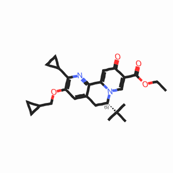 CCOC(=O)c1cn2c(cc1=O)-c1nc(C3CC3)c(OCC3CC3)cc1C[C@H]2C(C)(C)C